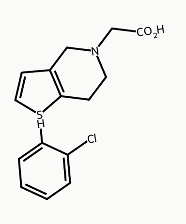 O=C(O)CN1CCC2=C(C=C[SH]2c2ccccc2Cl)C1